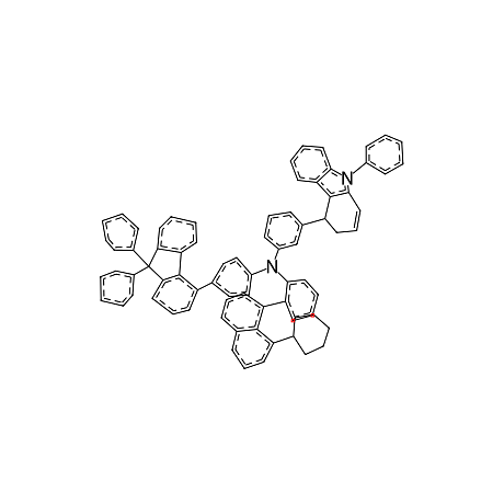 C1=Cc2c(c3ccccc3n2-c2ccccc2)C(c2cccc(N(c3ccc(-c4cccc5c4-c4ccccc4C5(c4ccccc4)c4ccccc4)cc3)c3ccccc3-c3cccc4cccc(C5CCCCC5)c34)c2)C1